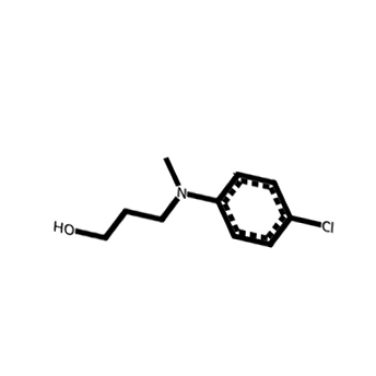 CN(CCCO)c1[c]cc(Cl)cc1